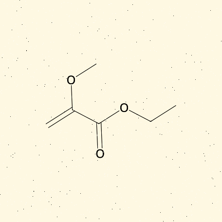 C=C(OC)C(=O)OCC